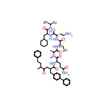 CC(=O)C(NC(=O)C(CC1CCCCC1)NC(=O)[C@H](CCN)NC(=O)[C@@H](CC(C)C)NC(=O)[C@H](C)N(C)C(=O)C(CCC(N)=O)NC(=O)C(CC(=O)C(C)CCc1ccccc1)Cc1ccc(-c2ccccc2)cc1)C(C)C